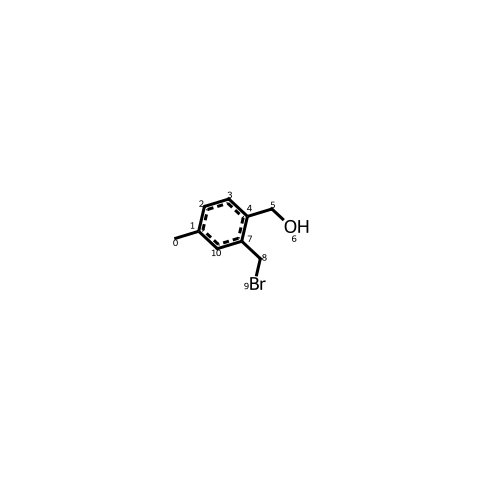 Cc1ccc(CO)c(CBr)c1